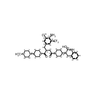 CN1CCN(C2CCN(C(=O)C(CC(=O)N3CCC(N4Cc5ccccc5NC4O)CC3)Cc3cc(Cl)c(N)c(C(F)(F)F)c3)CC2)CC1